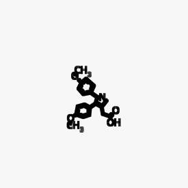 COc1ccc(C2=NCC(CC(=O)O)=C2c2ccc(OC)cc2)cc1